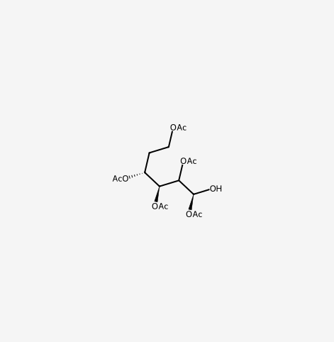 CC(=O)OCC[C@@H](OC(C)=O)[C@H](OC(C)=O)C(OC(C)=O)[C@@H](O)OC(C)=O